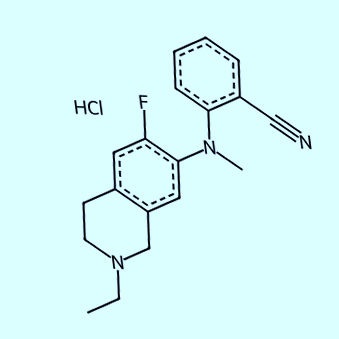 CCN1CCc2cc(F)c(N(C)c3ccccc3C#N)cc2C1.Cl